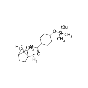 CC1(C)C2CCC1(C)C(OC(=O)C1CCC(O[Si](C)(C)C(C)(C)C)CC1)C2